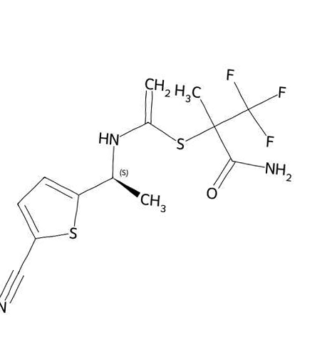 C=C(N[C@@H](C)c1ccc(C#N)s1)SC(C)(C(N)=O)C(F)(F)F